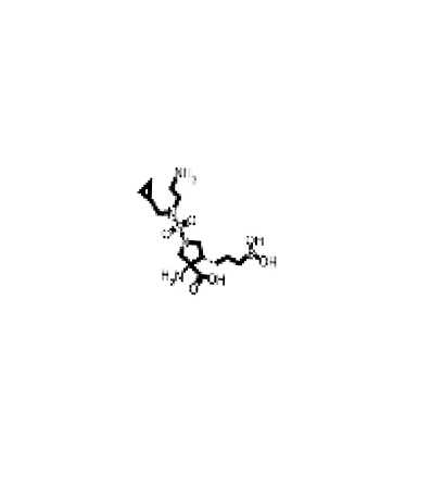 NCCN(CC1CC1)S(=O)(=O)N1C[C@H](CCCB(O)O)[C@](N)(C(=O)O)C1